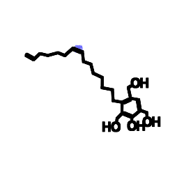 C=CCCCC/C=C\CCCCCCCc1c(CO)cc(CO)c(O)c1CO